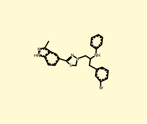 Cc1n[nH]c2ccc(C3=NN(CC(Cc4cccc(Br)c4)Nc4ccccc4)CS3)cc12